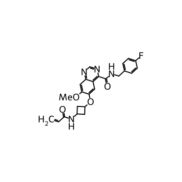 C=CC(=O)NC1CC(Oc2cc3c(C(=O)NCc4ccc(F)cc4)ncnc3cc2OC)C1